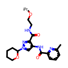 Cc1cccc(C(=O)Nc2cn(C3CCCCO3)nc2C(=O)NCCOC(C)C)n1